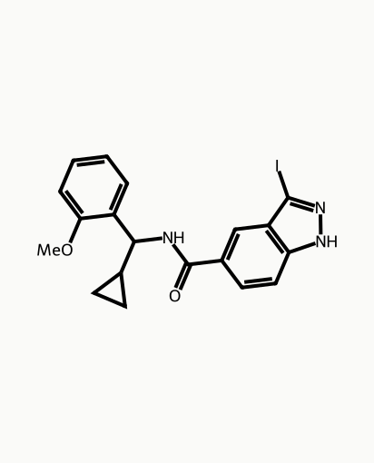 COc1ccccc1C(NC(=O)c1ccc2[nH]nc(I)c2c1)C1CC1